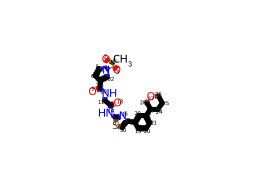 CS(=O)(=O)n1ccc(C(=O)NCC(=O)Nc2nc(-c3cccc(C4CCCOC4)c3)cs2)c1